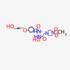 CS(=O)(=O)N1CCN([C@@H](CNC(=O)c2ccc(OCC#CCO)cc2)C(=O)NO)CC1